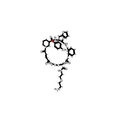 Cc1ccc(C[C@@]23CCCN(C2)C(=O)/C=C/C(=O)NCC[C@@H](C(=O)NCCOCCN)NC(=O)Cc2ccccc2CNC(=O)[C@H](Cc2ccco2)NC3=O)cc1